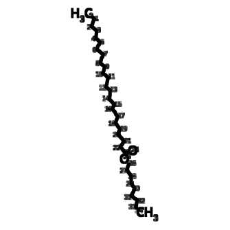 CCCCCCCCCCCCCCCCCCCCCCCC(=O)OCCCCCCCCC